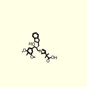 COc1cc([C@@H](O)[C@@H](CC2Cc3ccccc3C2)Cn2ccc(C(C)(C)C(=O)O)c2)cc(OC)c1C